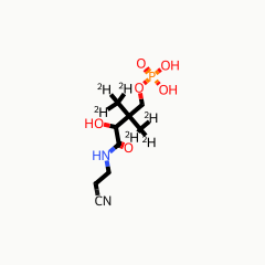 [2H]C([2H])([2H])C(COP(=O)(O)O)(C(O)C(=O)NCCC#N)C([2H])([2H])[2H]